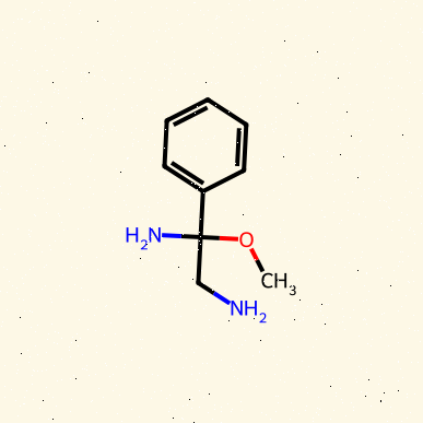 COC(N)(CN)c1ccccc1